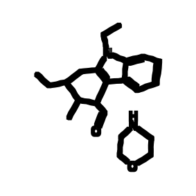 C1COCCN1.CCC1Cc2c(c3ccccc3n2CC)C(C=O)C1C